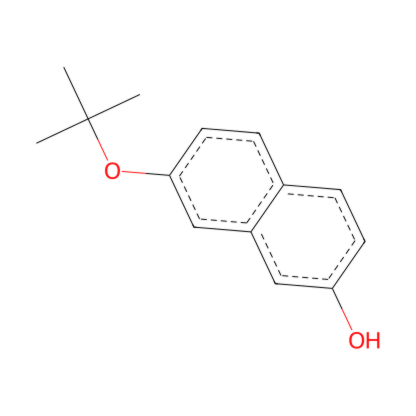 CC(C)(C)Oc1ccc2ccc(O)cc2c1